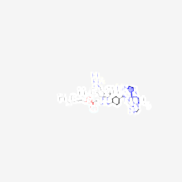 CCCCOC(=O)CCN(Cc1ccc(CN(Cc2ncc[nH]2)C(C)c2ncc[nH]2)cc1)C(CCC)(CCC)CCCN